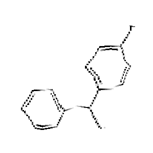 [CH2]C(c1ccccc1)c1ccc(F)cc1